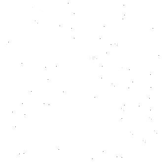 O=C(O)N(c1ccc(-c2cnc([C@@H]3CCc4nc(-c5cc(Cl)ccc5-n5cnnn5)cc(=O)n43)[nH]2)cc1)C1COC1